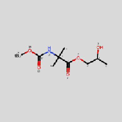 CC(O)COC(=O)C(C)(C)NC(=O)OC(C)(C)C